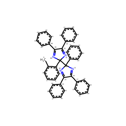 Cc1ccccc1C1(C2(c3ccccc3)N=C(c3ccccc3)C(c3ccccc3)=N2)N=C(c2ccccc2)C(c2ccccc2)=N1